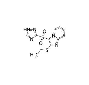 CCSc1nc2ccccn2c1S(=O)(=O)c1nc[nH]n1